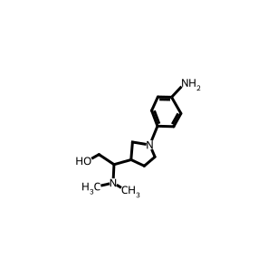 CN(C)C(CO)C1CCN(c2ccc(N)cc2)C1